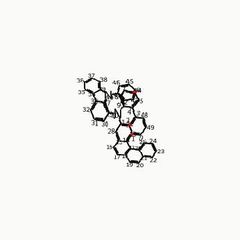 c1ccc(-c2ccccc2N(c2ccc3c(ccc4ccc5ccccc5c43)c2)c2cccc3c4ccccc4n(-c4ccccc4)c23)cc1